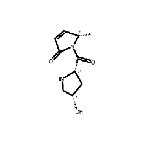 C[C@H]1C=CC(=O)N1C(=O)[C@@H]1C[C@H](O)CN1